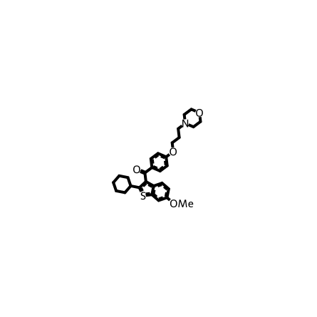 COc1ccc2c(C(=O)c3ccc(OCCCN4CCOCC4)cc3)c(C3CCCCC3)sc2c1